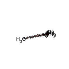 CCCCCCCCCCCCCCCCCCCCCCCCCCCCCC[Si](C)([O])O[SiH2]C